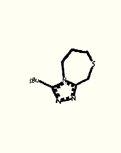 CC(C)(C)c1nnc2n1CCCSC2